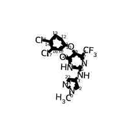 Cn1cc(Nc2nc(C(F)(F)F)c(Oc3ccc(Cl)c(Cl)c3)c(=O)[nH]2)cn1